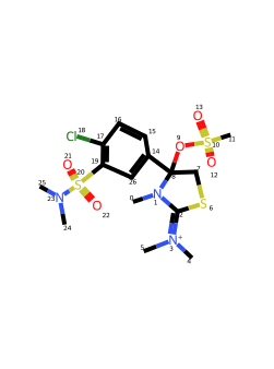 CN1C(=[N+](C)C)SCC1(OS(C)(=O)=O)c1ccc(Cl)c(S(=O)(=O)N(C)C)c1